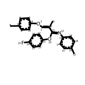 CC(=C\Oc1ccc(C)cc1)/C(=N/c1ccc(C)cc1)Oc1ccc(F)cc1